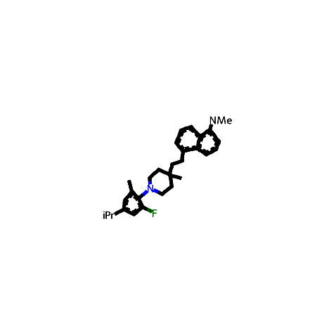 CNc1cccc2c(CCC3(C)CCN(c4c(C)cc(C(C)C)cc4F)CC3)cccc12